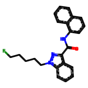 O=C(Nc1cccc2ccccc12)c1nn(CCCCCF)c2ccccc12